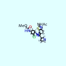 COCC(=O)Nc1ccc(-n2nc(-c3cccnc3)c3c2-c2sc(NC(C)=O)nc2CC3)c(Cl)c1